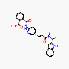 CC(c1cc2ccccc2[nH]1)N(C)C(=O)C=Cc1ccc(NC(=O)c2ccccc2C(=O)O)nc1